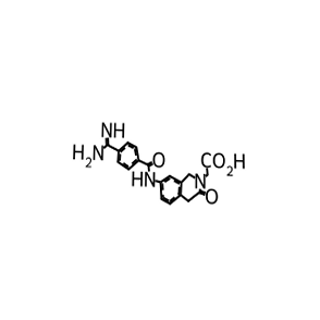 N=C(N)c1ccc(C(=O)Nc2ccc3c(c2)CN(CC(=O)O)C(=O)C3)cc1